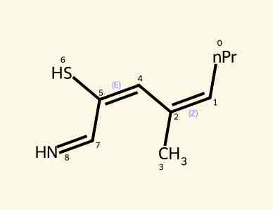 CCC/C=C(C)\C=C(\S)C=N